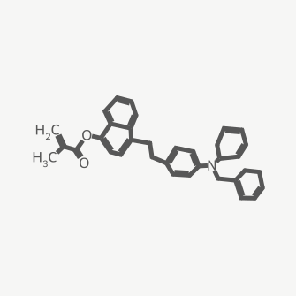 C=C(C)C(=O)Oc1ccc(CCc2ccc(N(CC3=CC=CCC3)C3C=CC=CC3)cc2)c2ccccc12